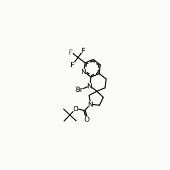 CC(C)(C)OC(=O)N1CCC2(CCc3ccc(C(F)(F)F)nc3N2Br)C1